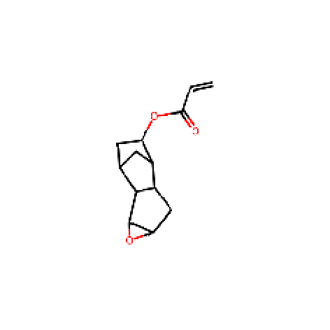 C=CC(=O)OC1CC2CC1C1CC3OC3C21